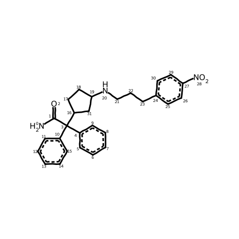 NC(=O)C(c1ccccc1)(c1ccccc1)C1CCC(NCCCc2ccc([N+](=O)[O-])cc2)C1